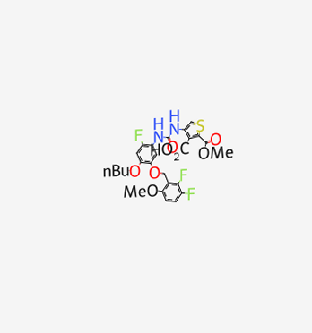 CCCCOc1cc(F)c(NC(=O)Nc2csc(C(=O)OC)c2C(=O)O)cc1OCc1c(OC)ccc(F)c1F